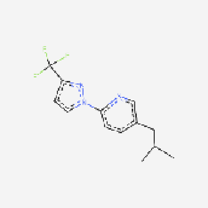 CC(C)Cc1ccc(-n2ccc(C(F)(F)F)n2)nc1